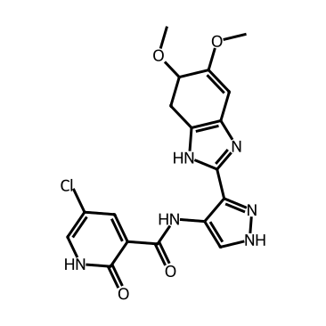 COC1=Cc2nc(-c3n[nH]cc3NC(=O)c3cc(Cl)c[nH]c3=O)[nH]c2CC1OC